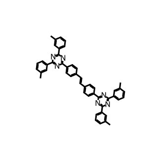 Cc1cccc(-c2nc(-c3ccc(C=Cc4ccc(-c5nc(-c6cccc(C)c6)nc(-c6cccc(C)c6)n5)cc4)cc3)nc(-c3cccc(C)c3)n2)c1